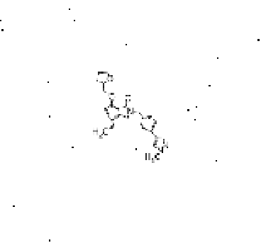 C=Cc1ccc(OCC2CCCO2)c2c1CN(Cc1ccc(-c3cnn(C)c3)cc1)C2=O